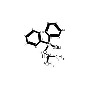 CCC(C)[Si](O[SiH](C)C)(c1ccccc1)c1ccccc1